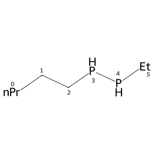 CCCCCPPCC